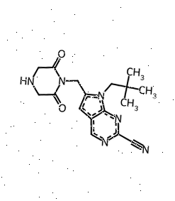 CC(C)(C)Cn1c(CN2C(=O)CNCC2=O)cc2cnc(C#N)nc21